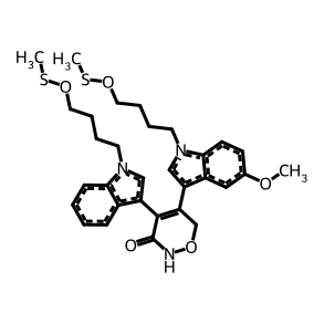 COc1ccc2c(c1)c(C1=C(c3cn(CCCCOSC)c4ccccc34)C(=O)NOC1)cn2CCCCOSC